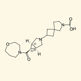 O=C(O)N1CCC2(CC(N3C[C@@H]4[C@H](C3)[C@@H]4C(=O)N3CCCOCC3)C2)C1